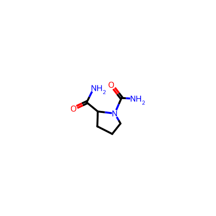 NC(=O)C1CCCN1C(N)=O